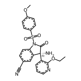 CCOc1ncccc1[C@]1(N)C(=O)N(S(=O)(=O)c2ccc(OC)cc2)c2ccc(C#N)cc21